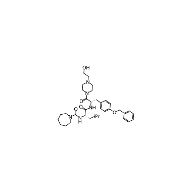 CC(C)C[C@H](NC(=O)N1CCCCCC1)C(=O)N[C@@H](Cc1ccc(OCc2ccccc2)cc1)C(=O)N1CCN(CCO)CC1